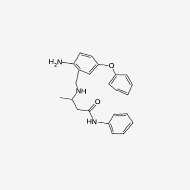 CC(CC(=O)Nc1ccccc1)NCc1cc(Oc2ccccc2)ccc1N